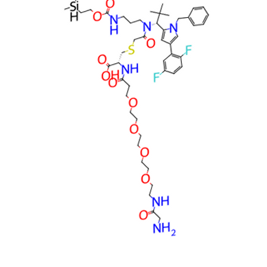 C[SiH](C)CCOC(=O)NCCCN(C(=O)CSC[C@H](NC(=O)CCOCCOCCOCCOCCNC(=O)CN)C(=O)O)[C@@H](c1cc(-c2cc(F)ccc2F)cn1Cc1ccccc1)C(C)(C)C